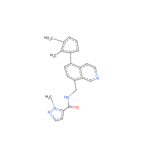 Cc1c(C(=O)O)cccc1-c1ccc(CNC(=O)c2ccnn2C)c2cnccc12